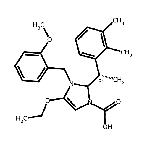 CCOC1=CN(C(=O)O)C([C@@H](C)c2cccc(C)c2C)N1Cc1ccccc1OC